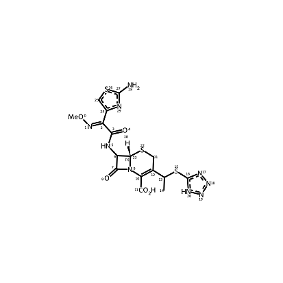 CON=C(C(=O)NC1C(=O)N2C(C(=O)O)=C(C(C)Sc3nnn[nH]3)CS[C@@H]12)c1csc(N)n1